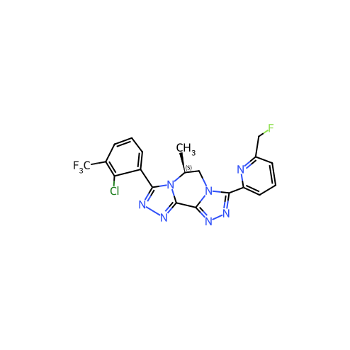 C[C@H]1Cn2c(-c3cccc(CF)n3)nnc2-c2nnc(-c3cccc(C(F)(F)F)c3Cl)n21